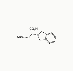 COC[C@H](C(=O)O)N1Cc2ccccc2C1